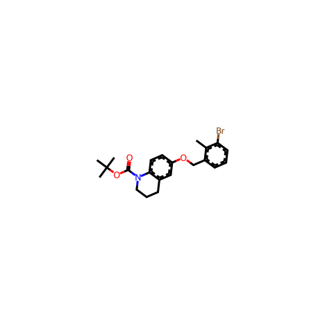 Cc1c(Br)cccc1COc1ccc2c(c1)CCCN2C(=O)OC(C)(C)C